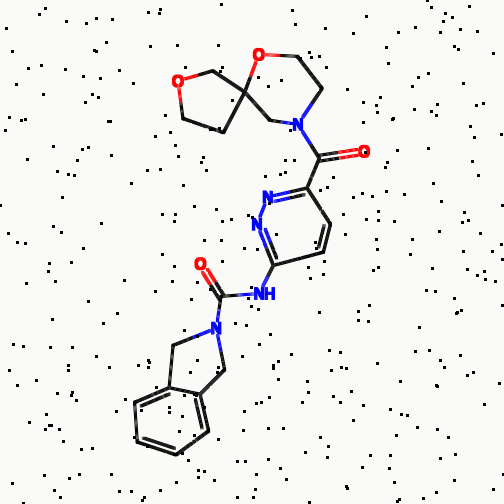 O=C(Nc1ccc(C(=O)N2CCOC3(CCOC3)C2)nn1)N1Cc2ccccc2C1